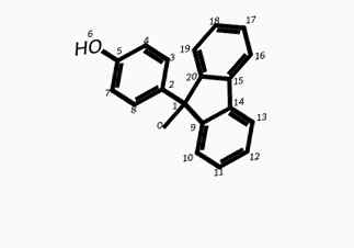 CC1(c2ccc(O)cc2)c2ccccc2-c2ccccc21